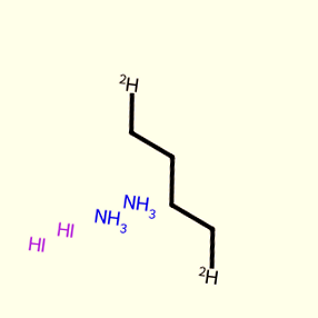 I.I.N.N.[2H]CCCC[2H]